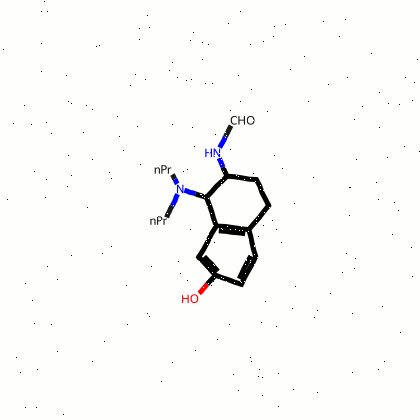 CCCN(CCC)C1c2cc(O)ccc2CCC1NC=O